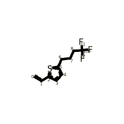 C=Cc1ccc(CCCC(F)(F)F)s1